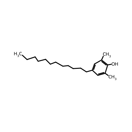 CCCCCCCCCCCCc1cc(C)c(O)c(C)c1